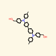 Cc1ccc(N(c2ccc(CO)cc2)c2ccc(-c3ccc(N(c4ccc(C)cc4)c4ccc(CO)cc4)cc3)cc2)cc1